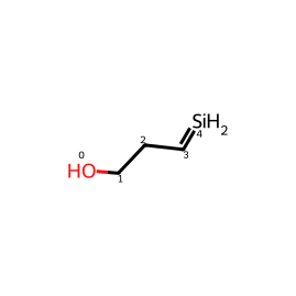 OCCC=[SiH2]